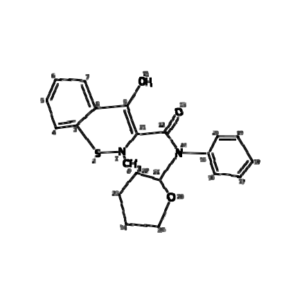 CN1Sc2ccccc2C(O)=C1C(=O)N(c1ccccc1)C1CCCCO1